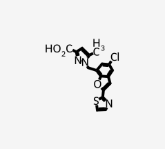 Cc1cc(C(=O)O)nn1Cc1cc(Cl)cc2cc(-c3nccs3)oc12